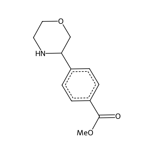 COC(=O)c1ccc(C2COCCN2)cc1